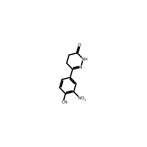 N#Cc1ccc(C2=NNC(=O)CC2)cc1[N+](=O)[O-]